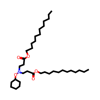 CCCCCCCCCCCCOC(=O)CCN(CCC(=O)OCCCCCCCCCCCC)OC1CCCCC1